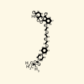 CC(C)(C)OC(=O)N1CCN(c2ccc(OCCOCCOCCOc3cccc4c3C(=O)N(C3CCC(=O)NC3=O)C4=O)cc2)CC1